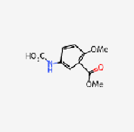 COC(=O)c1cc(NC(=O)O)ccc1OC